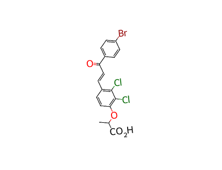 CC(Oc1ccc(/C=C/C(=O)c2ccc(Br)cc2)c(Cl)c1Cl)C(=O)O